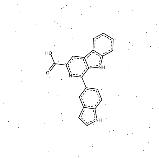 O=C(O)c1cc2c([nH]c3ccccc32)c(-c2ccc3[nH]ccc3c2)n1